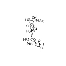 CC(=O)N[C@@H]1[C@@H](OP(C)(=O)OP(=O)(O)CC[C@H]2OC(n3ccc(=O)[nH]c3=O)[C@H](O)[C@@H]2O)O[C@H](CO)[C@@H](O)[C@@H]1O